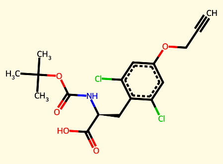 C#CCOc1cc(Cl)c(C[C@H](NC(=O)OC(C)(C)C)C(=O)O)c(Cl)c1